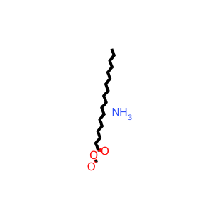 CCCCCCCCCCCCCCCCCC(=O)OC=O.N